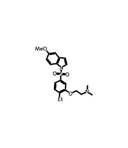 CCc1ccc(S(=O)(=O)n2ccc3cc(OC)ccc32)cc1OCCN(C)C